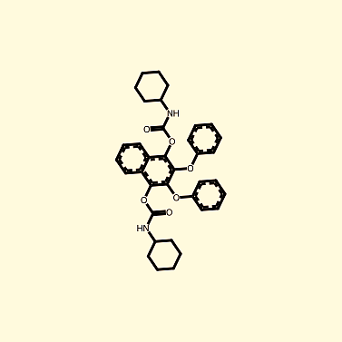 O=C(NC1CCCCC1)Oc1c(Oc2ccccc2)c(Oc2ccccc2)c(OC(=O)NC2CCCCC2)c2ccccc12